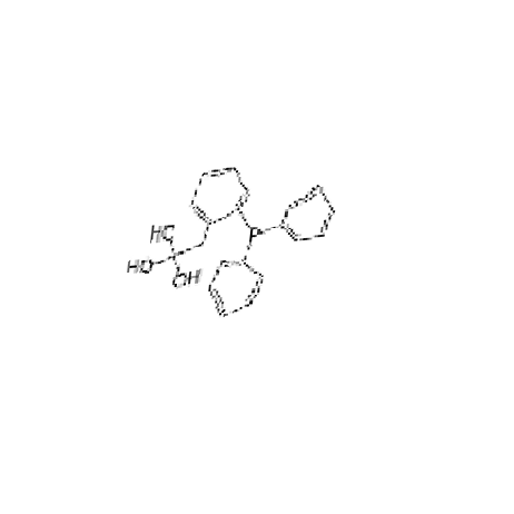 OC(O)(O)Cc1ccccc1P(c1ccccc1)c1ccccc1